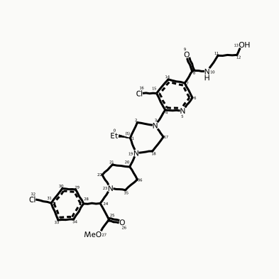 CC[C@H]1CN(c2ncc(C(=O)NCCO)cc2Cl)CCN1C1CCN(C(C(=O)OC)c2ccc(Cl)cc2)CC1